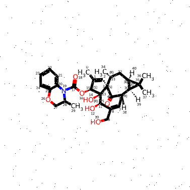 CC1=C[C@]23C(=O)[C@@H](C=C(CO)[C@@H](O)[C@]2(O)[C@H]1OC(=O)N1c2ccccc2OCC1C)[C@H]1[C@@H](C[C@H]3C)C1(C)C